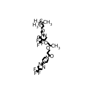 CC(COc1cnn(COCC[Si](C)(C)C)c(=O)c1C(F)(F)F)OCCC(=O)N1CCN(c2ncc(C(F)(F)F)cn2)CC1